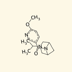 COc1ccc(C(=O)N2C3CC2CN(C(C)C)C3)cn1